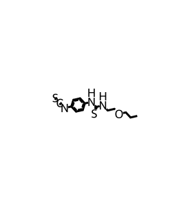 CCCOCCNC(=S)Nc1ccc(N=C=S)cc1